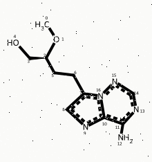 CO[C@H](CO)CCc1cnc2c(N)ncnn12